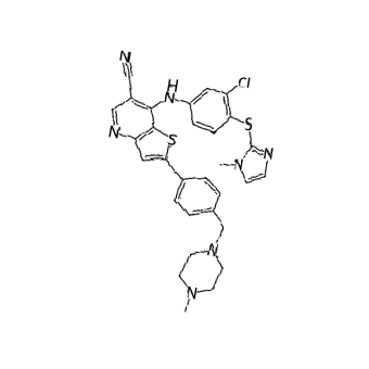 CN1CCN(Cc2ccc(-c3cc4ncc(C#N)c(Nc5ccc(Sc6nccn6C)c(Cl)c5)c4s3)cc2)CC1